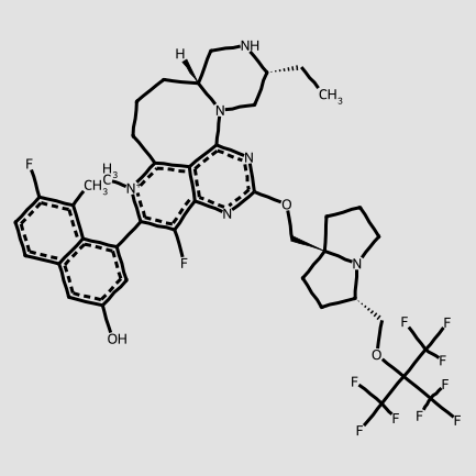 CC[C@@H]1CN2c3nc(OC[C@@]45CCCN4[C@H](COC(C(F)(F)F)(C(F)(F)F)C(F)(F)F)CC5)nc4c(F)c(-c5cc(O)cc6ccc(F)c(C)c56)[n+](C)c(c34)CCC[C@@H]2CN1